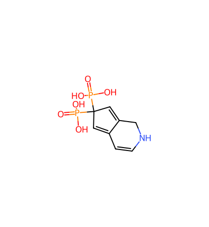 O=P(O)(O)C1(P(=O)(O)O)C=C2C=CNCC2=C1